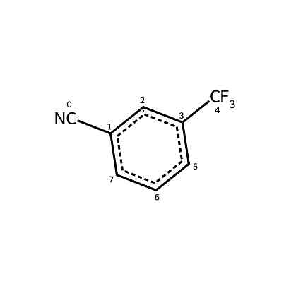 N#Cc1[c]c(C(F)(F)F)ccc1